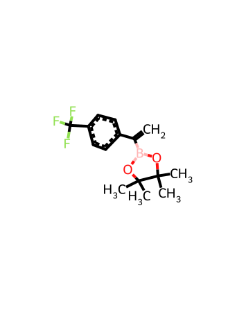 C=C(B1OC(C)(C)C(C)(C)O1)c1ccc(C(F)(F)F)cc1